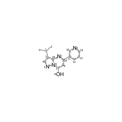 CC(C)c1cnn2c(O)cc(-c3cccnc3)nc12